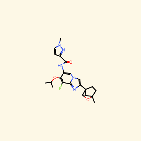 CC(C)Oc1c(NC(=O)c2ccn(C)n2)cn2cc(C34CCC(C)(C3)OC4)nc2c1F